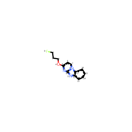 FCCCOc1ccn2c(n1)nc1ccccc12